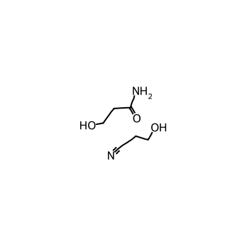 N#CCCO.NC(=O)CCO